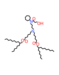 CCCCCCCCC(CCCCCC)COC(=O)CCCCCN(CCCCCC(=O)OCC(CCCCCC)CCCCCCCC)CCCCN(C(=O)CCO)C1CCCCCC1